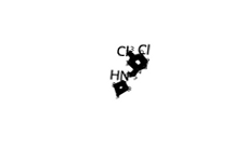 Clc1ccc(CNC2CCC2)cc1Cl